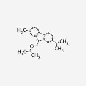 Cc1ccc2c(c1)C(COC(C)C)c1cc(C(C)C)ccc1-2